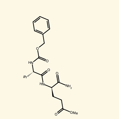 COC(=O)CC[C@@H](NC(=O)[C@@H](NC(=O)OCc1ccccc1)C(C)C)C(N)=O